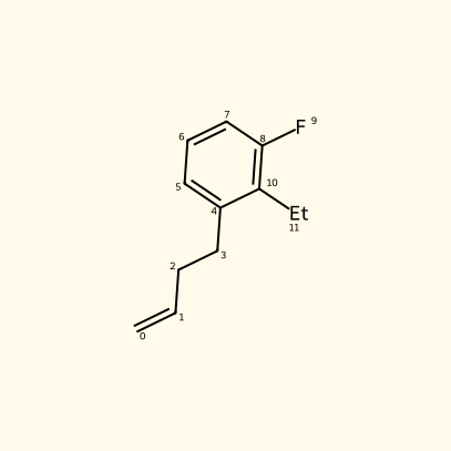 C=CCCc1cccc(F)c1CC